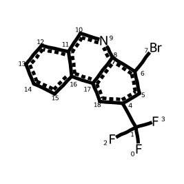 FC(F)(F)c1cc(Br)c2ncc3ccccc3c2c1